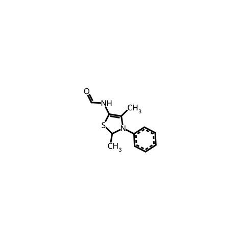 CC1=C(NC=O)SC(C)N1c1ccccc1